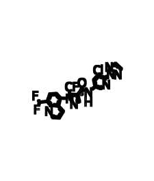 O=C(Nc1cnc(-n2nccn2)c(Cl)c1)c1cnn(-c2ccc(C(F)F)c3ncccc23)c1C(F)(F)F